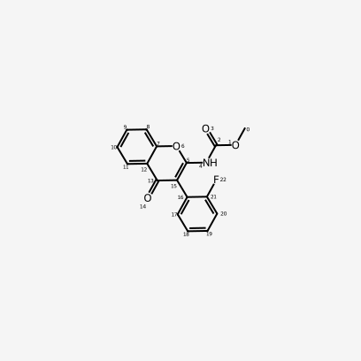 COC(=O)Nc1oc2ccccc2c(=O)c1-c1ccccc1F